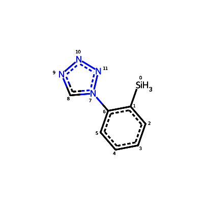 [SiH3]c1ccccc1-n1cnnn1